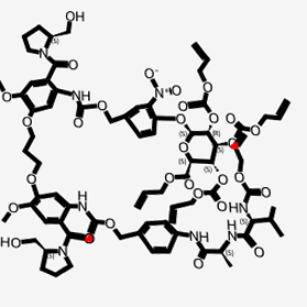 C=CCOC(=O)N[C@H](C(=O)N[C@@H](C)C(=O)Nc1ccc(COC(=O)Nc2cc(OCCCOc3cc(NC(=O)OCc4ccc(O[C@@H]5O[C@H](C(=O)OCC=C)[C@@H](OC(=O)OCC=C)[C@H](OC(=O)OCC=C)[C@H]5OC(=O)OCC=C)c([N+](=O)[O-])c4)c(C(=O)N4CCC[C@H]4CO)cc3OC)c(OC)cc2C(=O)N2CCC[C@H]2CO)cc1)C(C)C